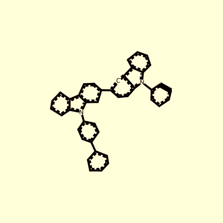 c1cccc(-n2c3ccccc3c3cc(-c4ccc5c6ccccc6n(-c6ccc(-c7ccccc7)cc6)c5c4)ccc32)c#1